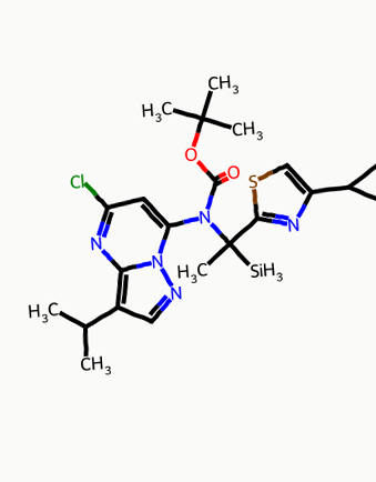 CC(C)c1cnn2c(N(C(=O)OC(C)(C)C)C(C)([SiH3])c3nc(C4CC4)cs3)cc(Cl)nc12